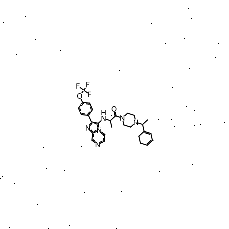 CC(Nc1c(-c2ccc(OC(F)(F)F)cc2)nc2cnccn12)C(=O)N1CCN(C(C)C2=CC=CCC2)CC1